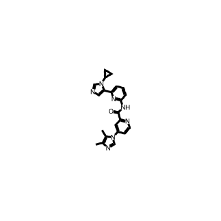 Cc1ncn(-c2ccnc(C(=O)Nc3cccc(-c4cncn4C4CC4)n3)c2)c1C